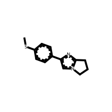 CSc1ccc(-c2cn3c(n2)CCC3)cc1